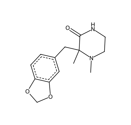 CN1CCNC(=O)C1(C)Cc1ccc2c(c1)OCO2